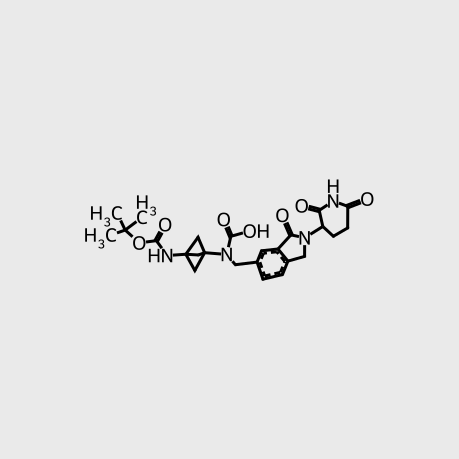 CC(C)(C)OC(=O)NC12CC(N(Cc3ccc4c(c3)C(=O)N(C3CCC(=O)NC3=O)C4)C(=O)O)(C1)C2